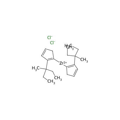 CCC(C)(CC)C1=[C]([Zr+2][C]2=C(C(C)(CC)CC)C=CC2)CC=C1.[Cl-].[Cl-]